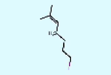 CC(C)=C[SiH2]CCCI